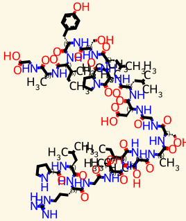 CC[C@H](C)[C@H](NC(=O)[C@H](Cc1ccc(O)cc1)NC(=O)[C@H](CO)NC(=O)[C@H](CC(C)C)NC(=O)[C@@H]1CCCN1C(=O)[C@@H](NC(=O)[C@H](CC(C)C)NC(=O)[C@H](CC(=O)O)NC(=O)CNC(=O)[C@H](CO)NC(=O)[C@H](C)NC(=O)[C@@H](NC(=O)[C@@H](NC(=O)[C@@H](NC(=O)CNC(=O)[C@H](CCCNC(=N)N)NC(=O)[C@H](CC(C)C)NC(=O)[C@@H]1CCCN1)[C@@H](C)O)[C@@H](C)CC)[C@@H](C)O)C(C)C)C(=O)N[C@@H](C)C(=O)NCC(=O)O